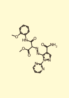 COC(=O)C(N=Nc1c(C(N)=O)cnn1-c1ncccn1)C(=O)Nc1ccccc1OC